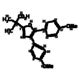 COc1ccc(-c2nc(C(C)(C)C(=O)O)oc2-c2ccc(OC)cc2)cc1